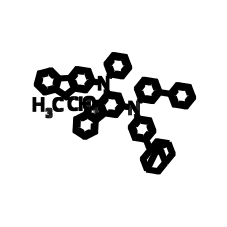 CC1(C)c2ccccc2-c2ccc(N(c3ccccc3)c3cc(N(c4ccc(C56CC7CC(CC(C7)C5)C6)cc4)c4cccc(-c5ccccc5)c4)cc4c3oc3ccccc34)cc21